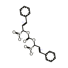 O=C(OC(/C=C/c1ccccc1)[N+](=O)[O-])OC(/C=C/c1ccccc1)[N+](=O)[O-]